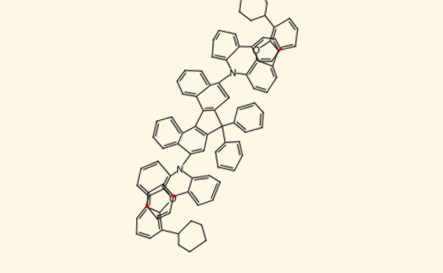 c1ccc(-c2ccccc2N(c2cc3c(c4ccccc24)-c2c(cc(N(c4ccccc4-c4ccccc4)c4cccc5c4oc4c(C6CCCCC6)cccc45)c4ccccc24)C3(c2ccccc2)c2ccccc2)c2cccc3c2oc2c(C4CCCCC4)cccc23)cc1